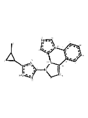 CC1CC1c1nc(N2CN=C3c4ccccc4-n4cncc4N32)no1